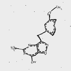 COc1cccc(Cc2noc3c(O)nc(N)nc23)c1